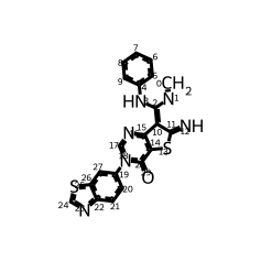 C=N/C(Nc1ccccc1)=C1\C(=N)Sc2c1ncn(-c1ccc3ncsc3c1)c2=O